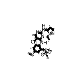 CCn1nccc1Nc1ncc(Cl)c(Nc2ccc(OC)cc2NS(C)(=O)=O)n1